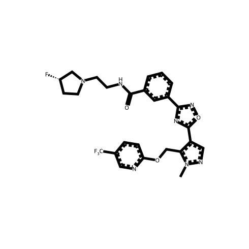 Cn1ncc(-c2nc(-c3cccc(C(=O)NCCN4CC[C@H](F)C4)c3)no2)c1COc1ccc(C(F)(F)F)cn1